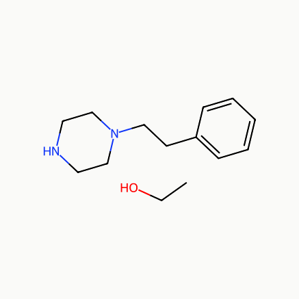 CCO.c1ccc(CCN2CCNCC2)cc1